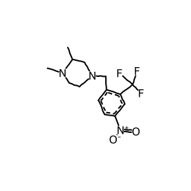 CC1CN(Cc2ccc([N+](=O)[O-])cc2C(F)(F)F)CCN1C